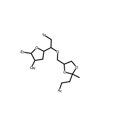 [2H]CC(OCC1COC(C)(CCC(C)=O)O1)C1CC(O)C(CC)O1